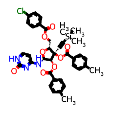 Cc1ccc(C(=O)O[C@H]2[C@H](Nc3cc[nH]c(=O)n3)O[C@H](COC(=O)c3ccc(Cl)cc3)[C@@]2(C#C[Si](C)(C)C)OC(=O)c2ccc(C)cc2)cc1